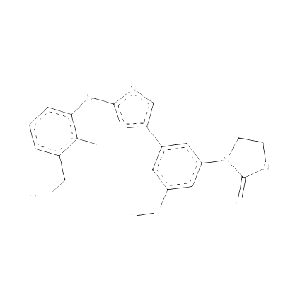 COCc1cccc(Nc2ncc(-c3cc(OC(C)C)cc(N4CCNC4=O)c3)o2)c1C